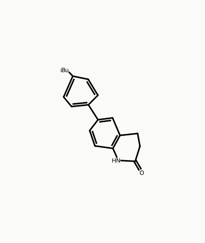 CCC(C)c1ccc(-c2ccc3c(c2)CCC(=O)N3)cc1